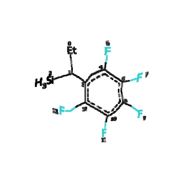 CCC([SiH3])c1c(F)c(F)c(F)c(F)c1F